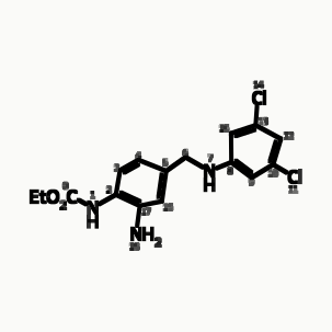 CCOC(=O)Nc1ccc(CNc2cc(Cl)cc(Cl)c2)cc1N